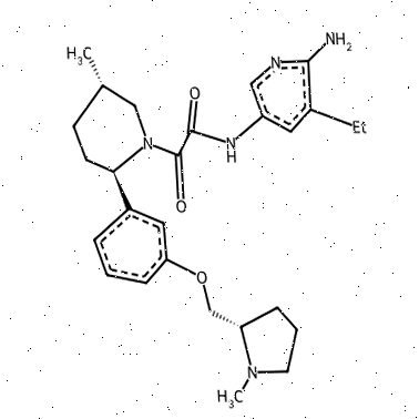 CCc1cc(NC(=O)C(=O)N2C[C@@H](C)CC[C@@H]2c2cccc(OC[C@@H]3CCCN3C)c2)cnc1N